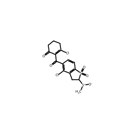 C[S+]([O-])C1Cc2c(ccc(C(=O)C3=C(Cl)CCCC3=O)c2Cl)S1(=O)=O